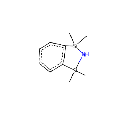 C[Si]1(C)N[Si](C)(C)c2ccccc21